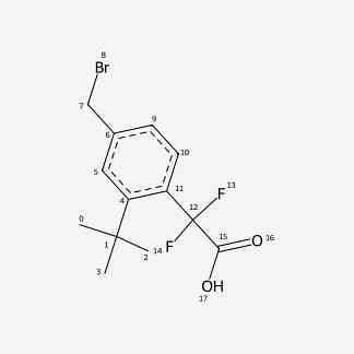 CC(C)(C)c1cc(CBr)ccc1C(F)(F)C(=O)O